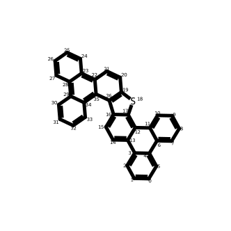 c1ccc2c(c1)c1ccccc1c1c2ccc2c1sc1ccc3c4ccccc4c4ccccc4c3c12